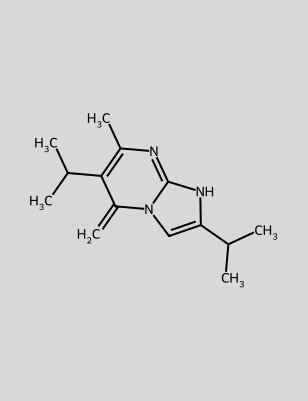 C=C1C(C(C)C)=C(C)N=C2NC(C(C)C)=CN12